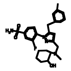 Cc1cccc(Cc2cc(CN(C)C3CCCCC3O)nn2-c2ccc(S(N)(=O)=O)cc2F)c1